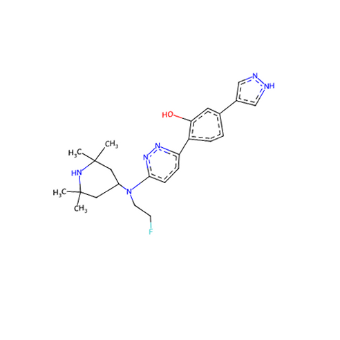 CC1(C)CC(N(CCF)c2ccc(-c3ccc(-c4cn[nH]c4)cc3O)nn2)CC(C)(C)N1